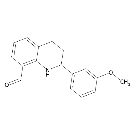 COc1cccc(C2CCc3cccc(C=O)c3N2)c1